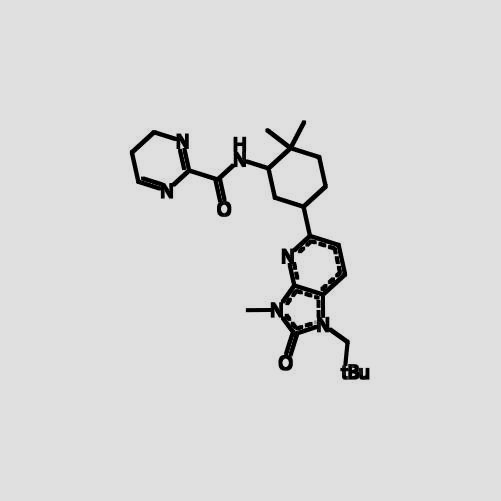 Cn1c(=O)n(CC(C)(C)C)c2ccc(C3CCC(C)(C)C(NC(=O)C4=NCCC=N4)C3)nc21